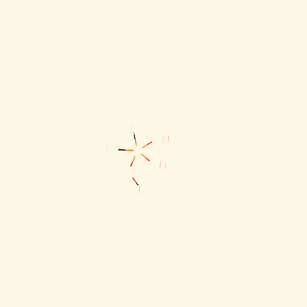 CCOP(O)(O)(CC)CC